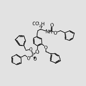 O=C(N[C@@H](Cc1ccc(OP(=O)(OCc2ccccc2)OCc2ccccc2)c(OCc2ccccc2)c1)C(=O)O)OCc1ccccc1